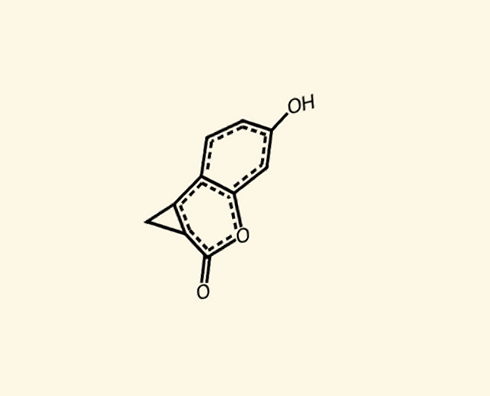 O=c1oc2cc(O)ccc2c2c1C2